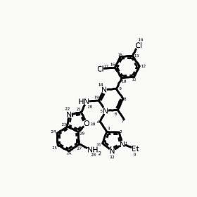 CCn1cc(CN2C(C)=CC(c3ccc(Cl)cc3Cl)N=C2Nc2nc3cccc(N)c3o2)cn1